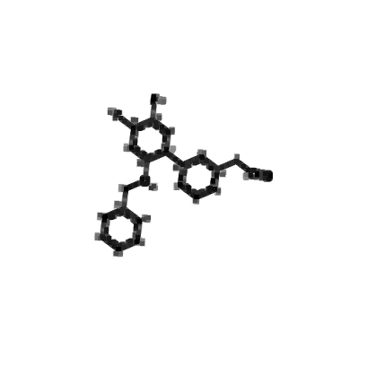 O=CCc1cccc(-c2cc(F)c(F)cc2OCc2ccccc2)c1